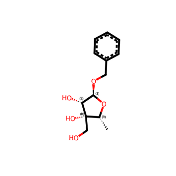 C[C@H]1O[C@H](OCc2ccccc2)[C@@H](O)[C@]1(O)CO